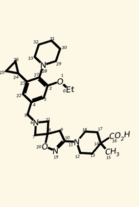 CCOc1cc(CN2CC3(CC(N4CCC(C)(C(=O)O)CC4)=NO3)C2)cc(C2CC2)c1N1CCCCC1